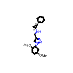 COc1ccc(OC)c(-n2cc(CN[C@@H]3C[C@H]3c3ccccc3)nn2)c1